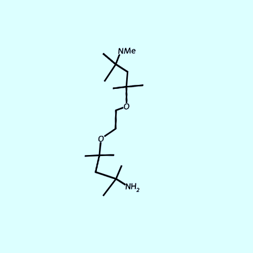 CNC(C)(C)CC(C)(C)OCCOC(C)(C)CC(C)(C)N